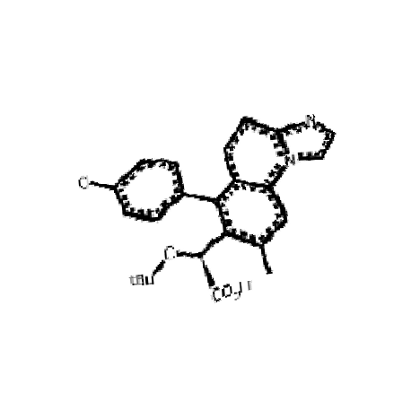 Cc1cc2c(ccc3nccn32)c(-c2ccc(Cl)cc2)c1[C@H](OC(C)(C)C)C(=O)O